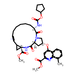 COC(=O)c1cc(O[C@@H]2C[C@H]3C(=O)N[C@]4(C(=O)OC)CC4/C=C\CCCCC[C@H](NC(=O)OC4CCCC4)C(=O)N3C2)c2cccc(C)c2n1